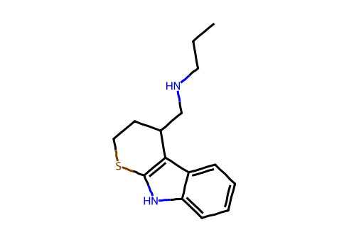 CCCNCC1CCSc2[nH]c3ccccc3c21